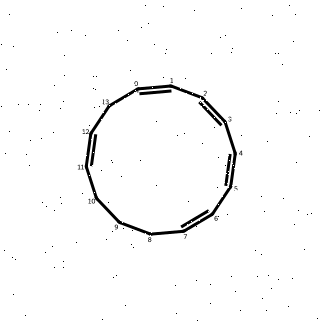 [C]1=CC=CC=CC=CCCCC=CC1